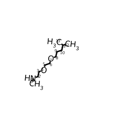 CNCCOCCOCCCC(C)C